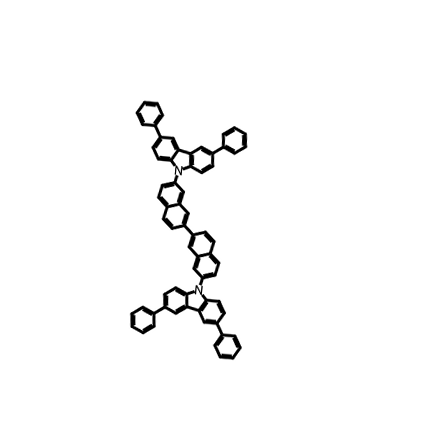 c1ccc(-c2ccc3c(c2)c2cc(-c4ccccc4)ccc2n3-c2ccc3ccc(-c4ccc5ccc(-n6c7ccc(-c8ccccc8)cc7c7cc(-c8ccccc8)ccc76)cc5c4)cc3c2)cc1